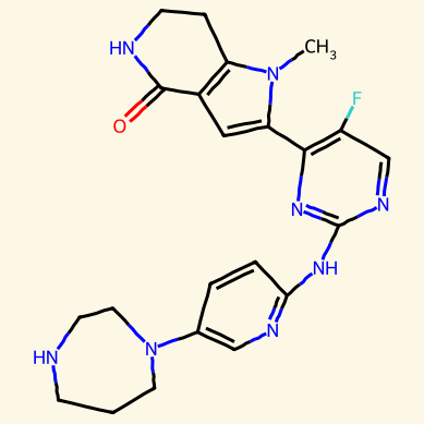 Cn1c(-c2nc(Nc3ccc(N4CCCNCC4)cn3)ncc2F)cc2c1CCNC2=O